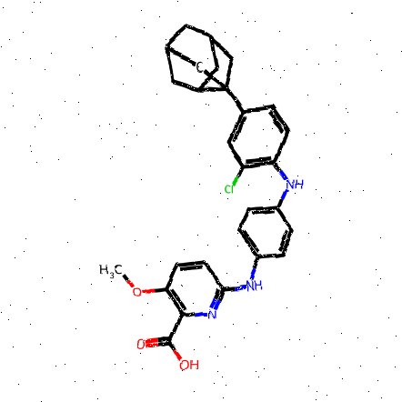 COc1ccc(Nc2ccc(Nc3ccc(C45CC6CC(CC4C6)C5)cc3Cl)cc2)nc1C(=O)O